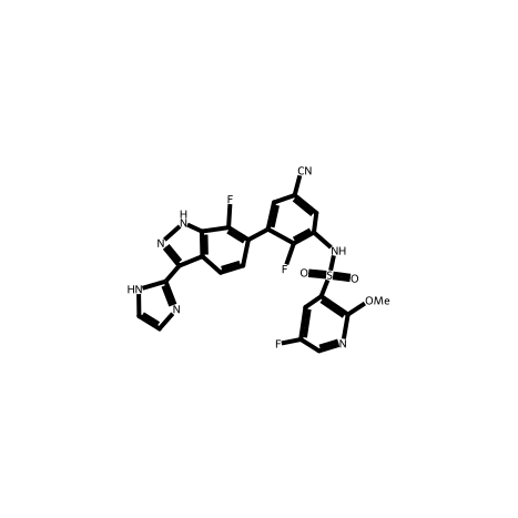 COc1ncc(F)cc1S(=O)(=O)Nc1cc(C#N)cc(-c2ccc3c(-c4ncc[nH]4)n[nH]c3c2F)c1F